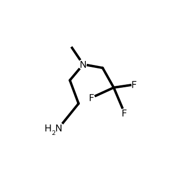 CN(CCN)CC(F)(F)F